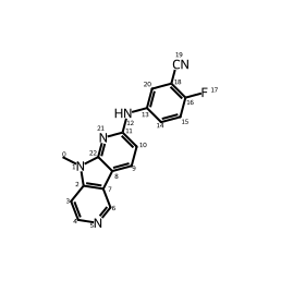 Cn1c2ccncc2c2ccc(Nc3ccc(F)c(C#N)c3)nc21